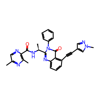 Cc1cnc(C(=O)N[C@@H](C)c2nc3cccc(C#Cc4cnn(C)c4)c3c(=O)n2-c2ccccc2)c(C)n1